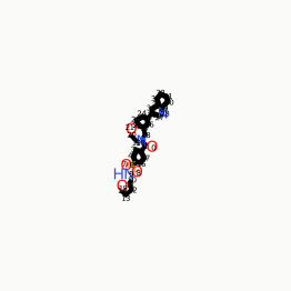 O=C(c1ccc(S(=O)(=O)NCC2CCCO2)cc1)N1CCOc2ccc(-c3cnc4ccccc4c3)cc2C1